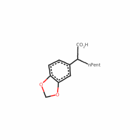 CCCCCC(C(=O)O)c1ccc2c(c1)OCO2